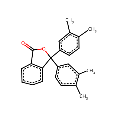 Cc1ccc(C2(c3ccc(C)c(C)c3)OC(=O)c3ccccc32)cc1C